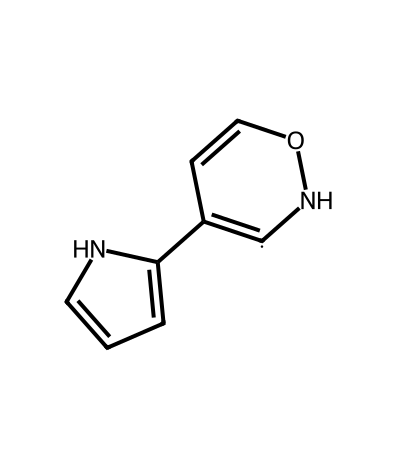 [C]1=C(c2ccc[nH]2)C=CON1